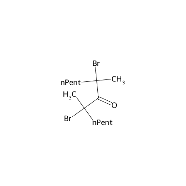 CCCCCC(C)(Br)C(=O)C(C)(Br)CCCCC